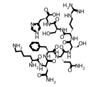 N=C(N)NCCC[C@H](NC(=O)[C@H](CO)NC(=O)[C@H](CCC(N)=O)NC(=O)[C@H](Cc1ccccc1)NC(=O)[C@H](CC(N)=O)NC(=O)[C@@H](N)CCCCN)C(=O)N[C@@H](CO)C(=O)N[C@@H](Cc1c[nH]cn1)C(=O)O